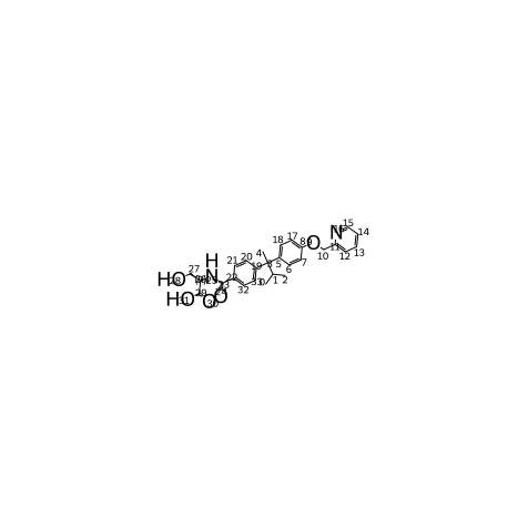 CC(C)C(C)(c1ccc(OCc2ccccn2)cc1)c1ccc(C(=O)N[C@H](CO)C(=O)O)cc1